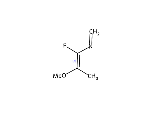 C=N/C(F)=C(\C)OC